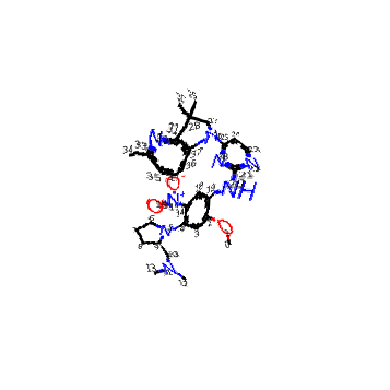 COc1cc(N2CCC[C@@H]2CN(C)C)c([N+](=O)[O-])cc1Nc1nccc(N2CC(C)(C)c3nc(C)ccc32)n1